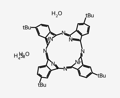 CC(C)(C)c1ccc2c(c1)-c1nc-2nc2[nH]c(nc3nc(nc4[nH]c(n1)c1ccc(C(C)(C)C)cc41)-c1ccc(C(C)(C)C)cc1-3)c1ccc(C(C)(C)C)cc21.O.O.[SiH4]